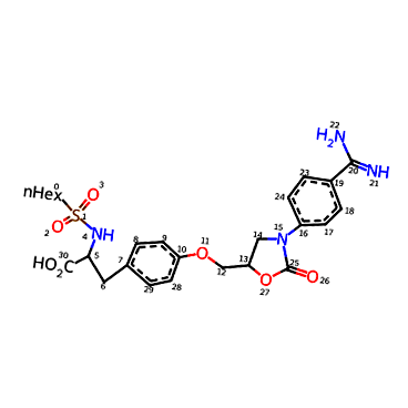 CCCCCCS(=O)(=O)NC(Cc1ccc(OCC2CN(c3ccc(C(=N)N)cc3)C(=O)O2)cc1)C(=O)O